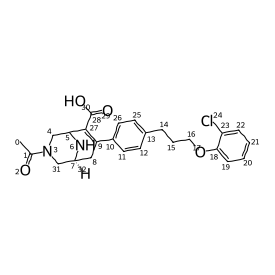 CC(=O)N1CC2N[C@@H](CC(c3ccc(CCCOc4ccccc4Cl)cc3)=C2C(=O)O)C1